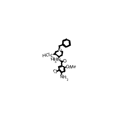 COc1cc(N)c(Cl)cc1C(=O)NC1CCN(Cc2ccccc2)CC1C.Cl